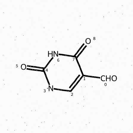 O=CC1=C[N]C(=O)NC1=O